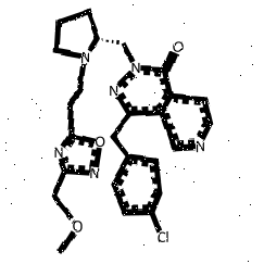 COCc1noc(CCN2CCC[C@@H]2Cn2nc(Cc3ccc(Cl)cc3)c3cnccc3c2=O)n1